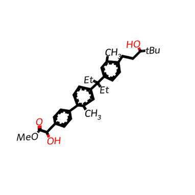 CCC(CC)(c1ccc(CCC(O)C(C)(C)C)c(C)c1)c1ccc(-c2ccc(C(O)C(=O)OC)cc2)c(C)c1